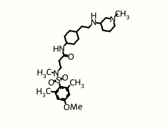 COc1cc(C)c(S(=O)(=O)N(C)CCC(=O)NC2CCC(CCNC3CCCN(C)C3)CC2)c(C)c1